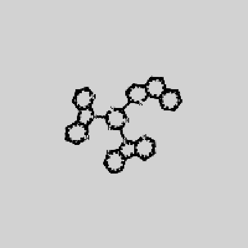 c1ccc2c(c1)ccc1ccc(-c3nc(-n4c5ncccc5c5cccnc54)nc(-n4c5ncccc5c5cccnc54)n3)nc12